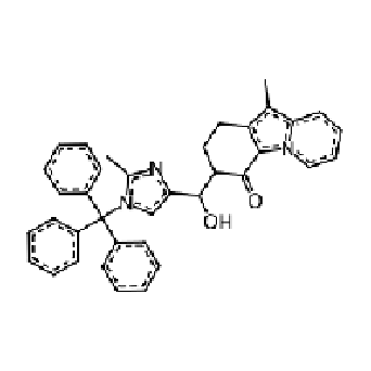 Cc1c2c(n3ccccc13)C(=O)C(C(O)c1cn(C(c3ccccc3)(c3ccccc3)c3ccccc3)c(C)n1)CC2